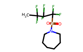 CC(F)(F)C(F)(F)C(F)(F)S(=O)(=O)N1CCCCCC1